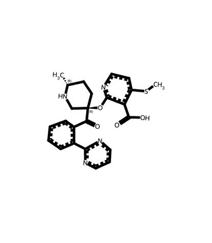 CSc1ccnc(O[C@]2(C(=O)c3ccccc3-c3ncccn3)CC[C@@H](C)NC2)c1C(=O)O